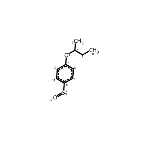 CCC(C)Oc1ccc([S+]=O)cc1